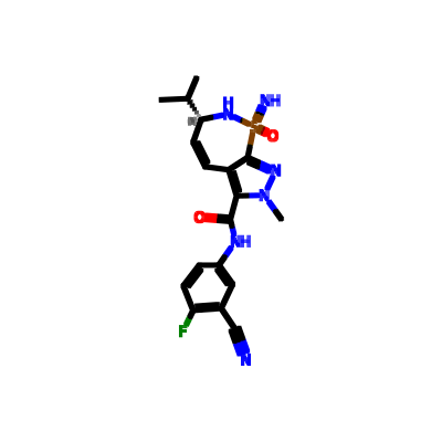 CC(C)[C@H]1C=Cc2c(nn(C)c2C(=O)Nc2ccc(F)c(C#N)c2)S(=N)(=O)N1